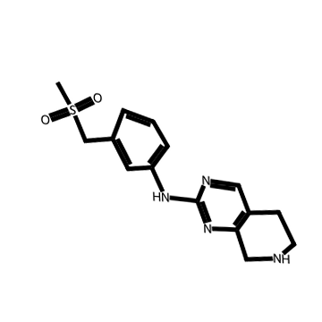 CS(=O)(=O)Cc1cccc(Nc2ncc3c(n2)CNCC3)c1